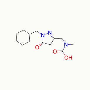 CN(CC1=NN(CC2CCCCC2)C(=O)C1)C(=O)O